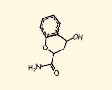 NC(=O)C1CC(O)c2ccccc2O1